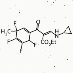 CCOC(=O)/C(=C\NC1CC1)C(=O)C1=CC(C)(F)C(F)=C(F)C1F